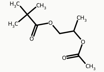 CC(=O)OC(C)COC(=O)C(C)(C)C